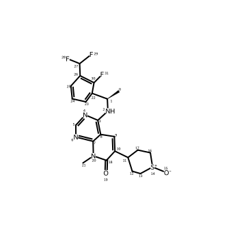 C[C@@H](Nc1ncnc2c1cc(C1CC[S+]([O-])CC1)c(=O)n2C)c1cccc(C(F)F)c1F